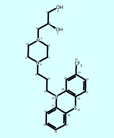 OC[C@@H](O)CN1CCN(CCCN2c3ccccc3Sc3ccc(C(F)(F)F)cc32)CC1